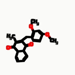 COc1ccc(CC2=C(C)C(=O)C3C=CC=CC3C2=O)c(OC)c1